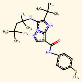 CSc1ccc(NC(=O)c2cnn3c(NC(C)(C)CC(C)(C)C)c(C(C)(C)C)[nH]c23)cc1